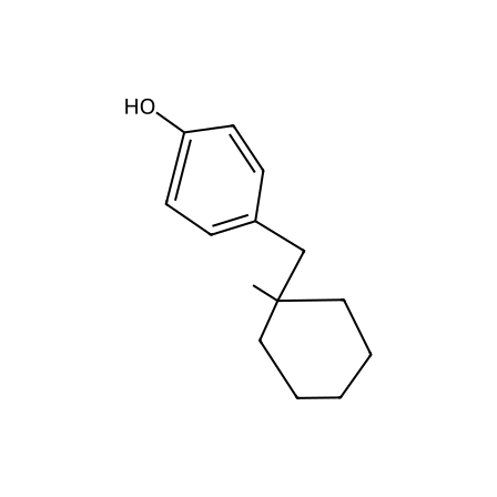 CC1(Cc2ccc(O)cc2)CCCCC1